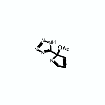 CC(=O)OC1(c2nnn[nH]2)C=CC=N1